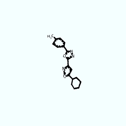 Cc1ccc(-c2nnc(-c3cc(C4CCCCC4)on3)o2)cc1